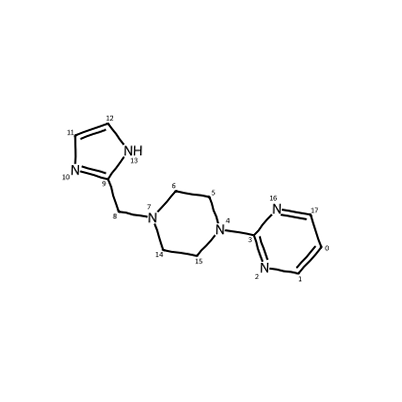 c1cnc(N2CCN(Cc3ncc[nH]3)CC2)nc1